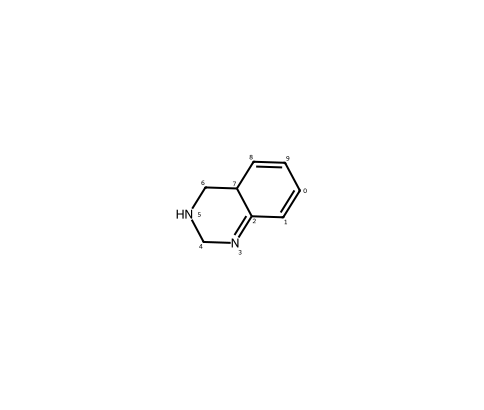 C1=CC2=NCNCC2C=C1